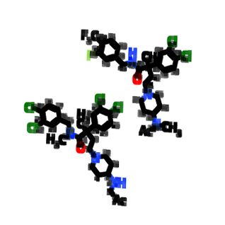 CC(=O)CNC1CCN(CCC(C)(C(=O)N(C)Cc2ccc(Cl)c(Cl)c2)c2ccc(Cl)c(Cl)c2)CC1.CC(=O)N(C)C1CCN(CCC(C)(C(=O)NCc2ccc(C(F)(F)F)c(F)c2)c2ccc(Cl)c(Cl)c2)CC1